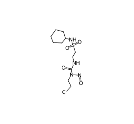 O=NN(CCCl)C(=O)NCCS(=O)(=O)NC1CCCCC1